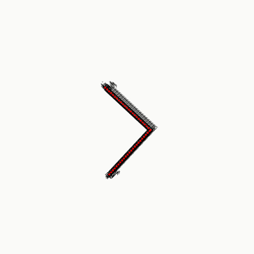 [O-2].[O-2].[O-2].[O-2].[O-2].[O-2].[O-2].[O-2].[O-2].[O-2].[O-2].[O-2].[O-2].[O-2].[O-2].[O-2].[O-2].[O-2].[O-2].[O-2].[O-2].[O-2].[O-2].[O-2].[O-2].[O-2].[O-2].[O-2].[O-2].[O-2].[O-2].[O-2].[O-2].[O-2].[O-2].[O-2].[O-2].[O-2].[O-2].[O-2].[O-2].[O-2].[O-2].[O-2].[O-2].[O-2].[O-2].[O-2].[O-2].[O-2].[O-2].[O-2].[O-2].[O-2].[O-2].[O-2].[O-2].[O-2].[O-2].[O-2].[O-2].[O-2].[O-2].[O-2].[O-2].[O-2].[O-2].[O-2].[O-2].[O-2].[O-2].[O-2].[O-2].[O-2].[O-2].[O-2].[O-2].[O-2].[O-2].[O-2].[O-2].[O-2].[O-2].[O-2].[O-2].[O-2].[O-2].[O-2].[O-2].[Yb+3].[Yb+3].[Yb+3].[Yb+3].[Yb+3].[Yb+3].[Yb+3]